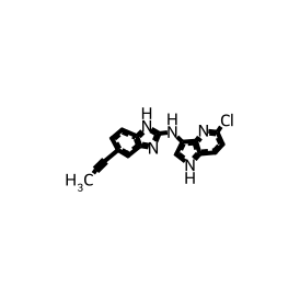 CC#Cc1ccc2[nH]c(Nc3c[nH]c4ccc(Cl)nc34)nc2c1